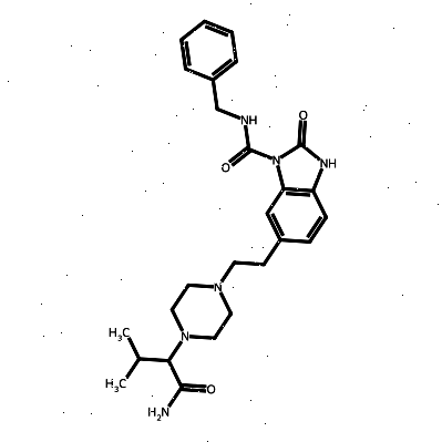 CC(C)C(C(N)=O)N1CCN(CCc2ccc3[nH]c(=O)n(C(=O)NCc4ccccc4)c3c2)CC1